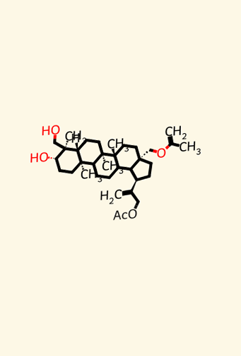 C=C(C)OC[C@]12CC[C@@H](C(=C)COC(C)=O)C1C1CCC3[C@@]4(C)CC[C@H](O)[C@@](C)(CO)[C@@H]4CC[C@@]3(C)[C@]1(C)CC2